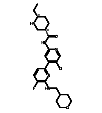 CC[C@H]1CC[C@H](C(=O)Nc2cc(-c3ccc(F)c(NCC4CCOCC4)n3)c(Cl)cn2)CN1